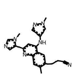 Cc1cc2nc(-c3cncn3C)cc(Nc3cnn(C)c3)c2cc1CCC#N